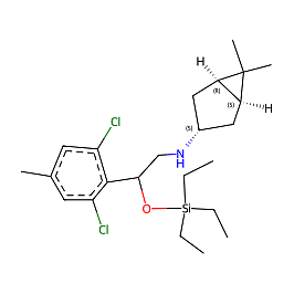 CC[Si](CC)(CC)OC(CN[C@@H]1C[C@@H]2[C@H](C1)C2(C)C)c1c(Cl)cc(C)cc1Cl